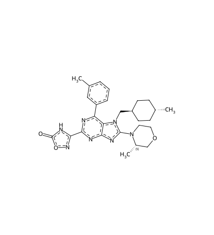 Cc1cccc(-c2nc(-c3noc(=O)[nH]3)nc3nc(N4CCOC[C@@H]4C)n(C[C@H]4CC[C@H](C)CC4)c23)c1